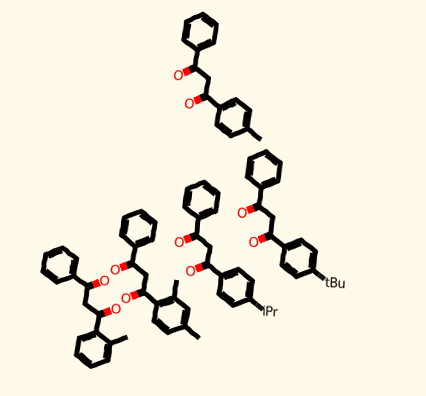 CC(C)(C)c1ccc(C(=O)CC(=O)c2ccccc2)cc1.CC(C)c1ccc(C(=O)CC(=O)c2ccccc2)cc1.Cc1ccc(C(=O)CC(=O)c2ccccc2)c(C)c1.Cc1ccc(C(=O)CC(=O)c2ccccc2)cc1.Cc1ccccc1C(=O)CC(=O)c1ccccc1